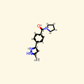 CCc1cc(-c2ccc(C(=O)N3CCCC3)cc2)n[nH]1